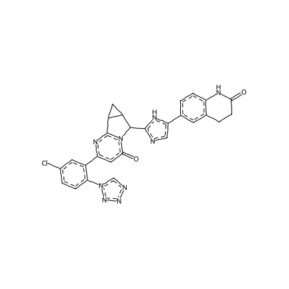 O=C1CCc2cc(-c3cnc(C4C5CC5c5nc(-c6cc(Cl)ccc6-n6cnnn6)cc(=O)n54)[nH]3)ccc2N1